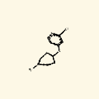 Cc1cc(SC2CCN(C)CC2)ccn1